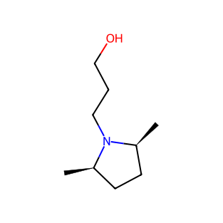 C[C@@H]1CC[C@H](C)N1CCCO